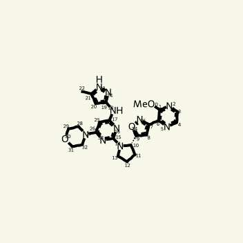 COc1nccnc1-c1cc([C@@H]2CCCN2c2nc(Nc3cc(C)[nH]n3)cc(N3CCOCC3)n2)on1